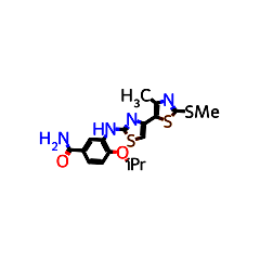 CSc1nc(C)c(-c2csc(Nc3cc(C(N)=O)ccc3OC(C)C)n2)s1